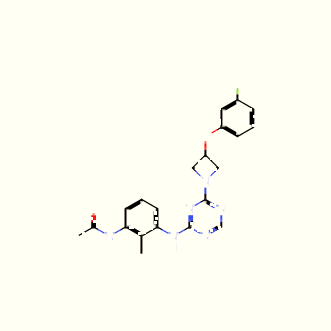 CC(=O)Nc1cccc(Nc2ncnc(N3CC(Oc4cccc(F)c4)C3)n2)c1C